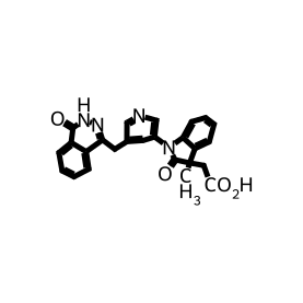 CC1(CC(=O)O)C(=O)N(c2cncc(Cc3n[nH]c(=O)c4ccccc34)c2)c2ccccc21